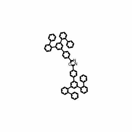 c1ccc(-c2ccccc2-c2cc(-c3ccc(-c4nnc(-c5ccc(-c6cc(-c7ccccc7-c7ccccc7)cc(-c7ccccc7-c7ccccc7)c6)cc5)o4)cc3)cc(-c3ccccc3-c3ccccc3)c2)cc1